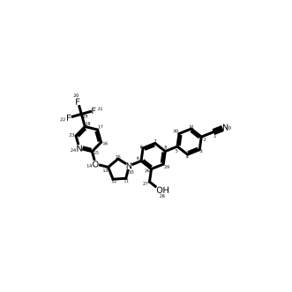 N#Cc1ccc(-c2ccc(N3CCC(Oc4ccc(C(F)(F)F)cn4)C3)c(CO)c2)cc1